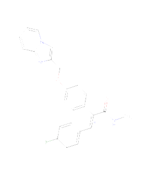 CNC(=O)/C(=C/c1ccc(Cl)cc1)c1ccc(OCc2cn3ccccc3n2)cc1